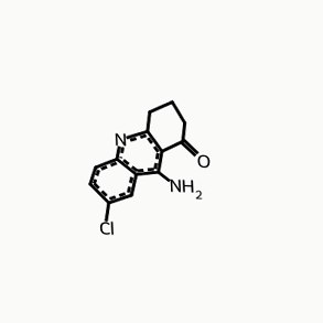 Nc1c2c(nc3ccc(Cl)cc13)CCCC2=O